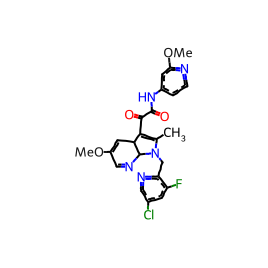 COC1=CC2C(C(=O)C(=O)Nc3ccnc(OC)c3)=C(C)N(Cc3ncc(Cl)cc3F)C2N=C1